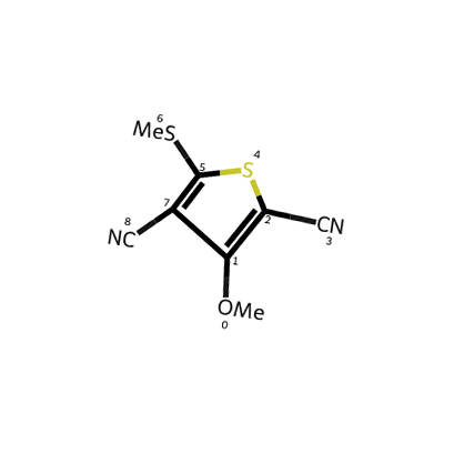 COc1c(C#N)sc(SC)c1C#N